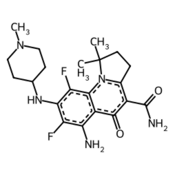 CN1CCC(Nc2c(F)c(N)c3c(=O)c(C(N)=O)c4n(c3c2F)C(C)(C)CC4)CC1